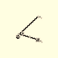 CCCCCCCCCCCCCCCCCCOCC(C[S+]([O-])CCCCCOCCCCCOS(C)(=O)=O)Oc1ncccn1